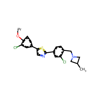 CC1CN(Cc2ccc(-c3ncc(-c4ccc(OC(C)C)c(Cl)c4)s3)cc2Cl)C1